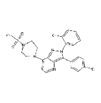 CC(C)S(=O)(=O)N1CCN(c2ncnc3c(-c4ccc(Cl)cc4)n(-c4ccccc4Cl)nc23)CC1